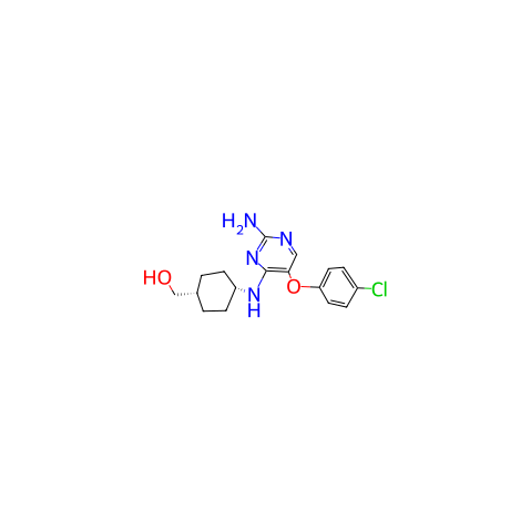 Nc1ncc(Oc2ccc(Cl)cc2)c(N[C@H]2CC[C@@H](CO)CC2)n1